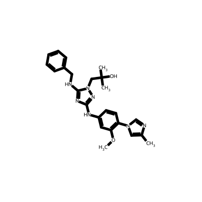 COc1cc(Nc2nc(NCc3ccccc3)n(CC(C)(C)O)n2)ccc1-n1cnc(C)c1